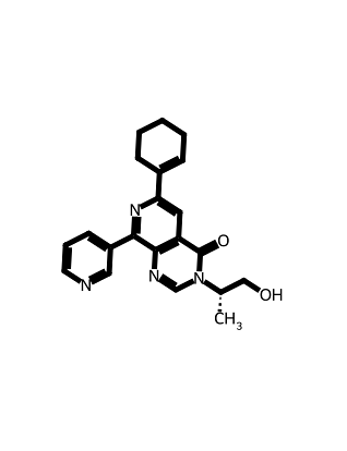 C[C@@H](CO)n1cnc2c(-c3cccnc3)nc(C3=CCCCC3)cc2c1=O